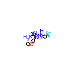 Nc1ncnc2c1c(-c1ccc(Oc3ccccc3)cc1)nn2CC(=O)Nc1cccc(C(F)(F)F)c1